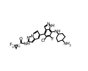 NC1CCC(Nc2c(F)c(Cl)c(-c3ccn4nc(NC(=O)[C@@H]5C[C@@H]5F)cc4c3)c3cn[nH]c23)CC1